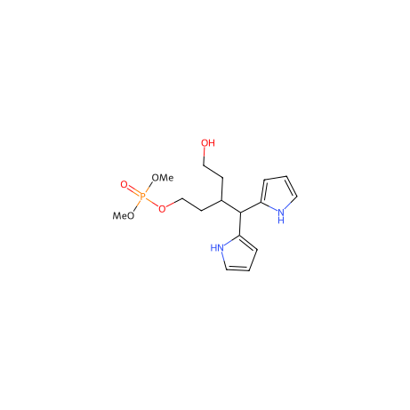 COP(=O)(OC)OCCC(CCO)C(c1ccc[nH]1)c1ccc[nH]1